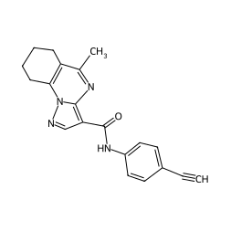 C#Cc1ccc(NC(=O)c2cnn3c4c(c(C)nc23)CCCC4)cc1